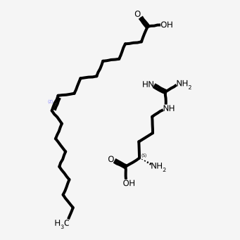 CCCCCCCC/C=C\CCCCCCCC(=O)O.N=C(N)NCCC[C@H](N)C(=O)O